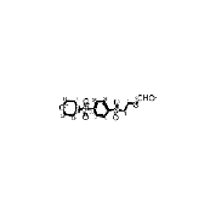 O=[C]OCCS(=O)(=O)c1ccc(S(=O)(=O)N2CCOCC2)cc1